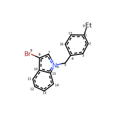 CCc1ccc(Cn2cc(Br)c3ccccc32)cc1